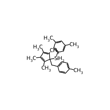 CC1=C(C)C(Cc2ccc(C)cc2)([SiH2]c2cc(C)cc(C)c2)C(C)=C1C